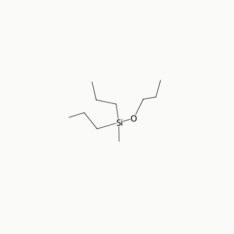 CCCO[Si](C)(CCC)CCC